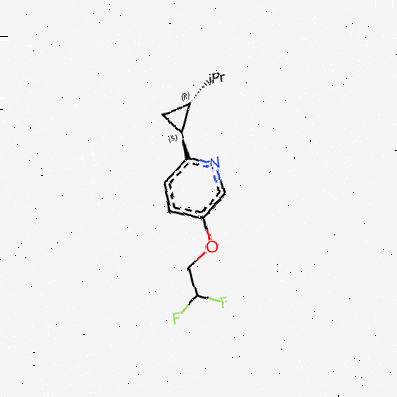 CC(C)[C@H]1C[C@@H]1c1ccc(OCC(F)F)cn1